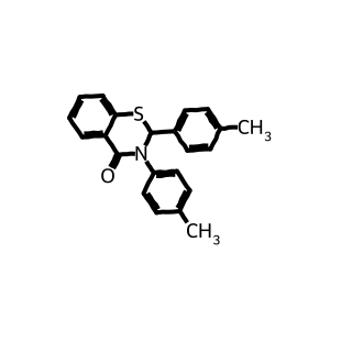 Cc1ccc(C2Sc3ccccc3C(=O)N2c2ccc(C)cc2)cc1